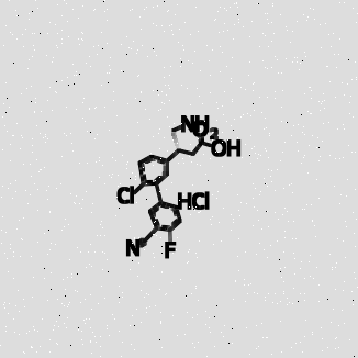 Cl.N#Cc1cc(-c2cc([C@H](CN)CC(=O)O)ccc2Cl)ccc1F